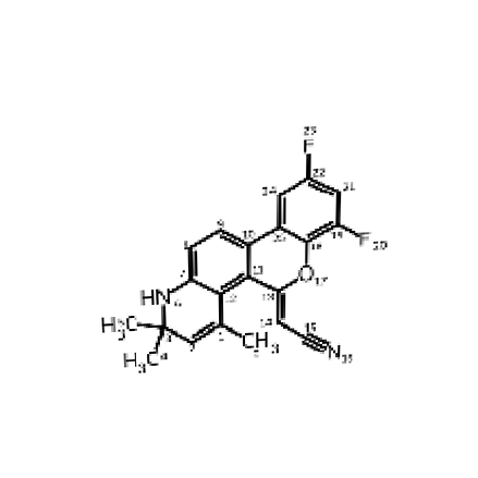 CC1=CC(C)(C)Nc2ccc3c(c21)C(=CC#N)Oc1c(F)cc(F)cc1-3